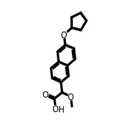 COC(C(=O)O)c1ccc2cc(OC3CCCC3)ccc2c1